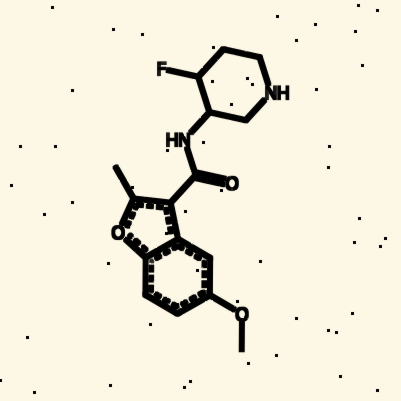 COc1ccc2oc(C)c(C(=O)NC3CNCCC3F)c2c1